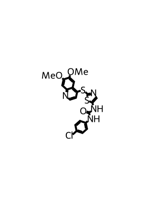 COc1cc2nccc(Sc3ncc(NC(=O)Nc4ccc(Cl)cc4)s3)c2cc1OC